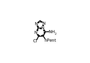 CCCCCc1c(Cl)nc2ncnn2c1N